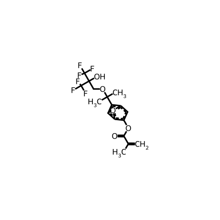 C=C(C)C(=O)Oc1cc2oc1cc2C(C)(C)OCC(O)(C(F)(F)F)C(F)(F)F